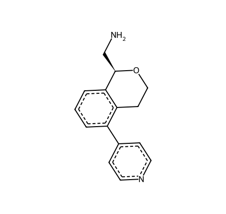 NC[C@H]1OCCc2c(-c3ccncc3)cccc21